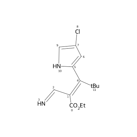 CCOC(=O)/C(C=N)=C(/c1cc(Cl)c[nH]1)C(C)(C)C